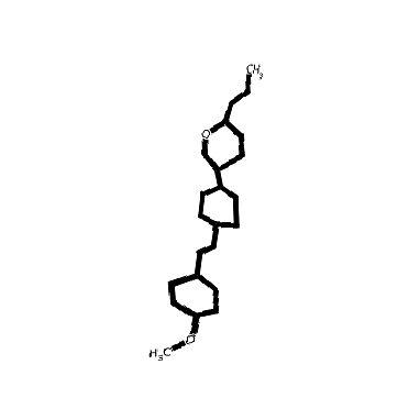 CCCC1CCC(C2CCC(CCC3CCC(OC)CC3)CC2)CO1